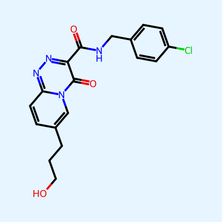 O=C(NCc1ccc(Cl)cc1)c1nnc2ccc(CCCO)cn2c1=O